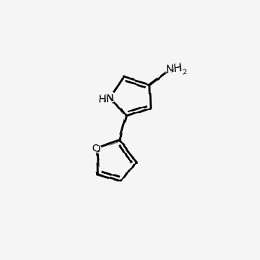 Nc1c[nH]c(-c2ccco2)c1